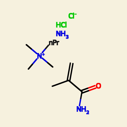 C=C(C)C(N)=O.CCC[N+](C)(C)C.Cl.N.[Cl-]